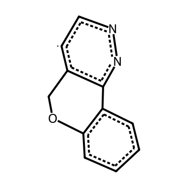 [c]1cnnc2c1COc1ccccc1-2